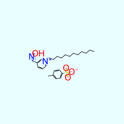 CCCCCCCCCCCC[n+]1cccc(/C=N\O)c1.Cc1ccc(S(=O)(=O)[O-])cc1